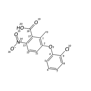 Cc1c(Oc2ccccc2Cl)ccc([N+](=O)[O-])c1C(=O)O